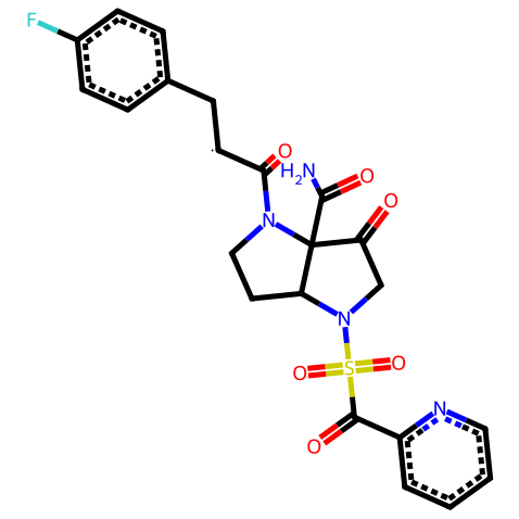 NC(=O)C12C(=O)CN(S(=O)(=O)C(=O)c3ccccn3)C1CCN2C(=O)[CH]Cc1ccc(F)cc1